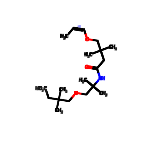 C/C=C\OCC(C)(C)CC(=O)NC(C)(C)COCC(C)(C)CC(=O)O